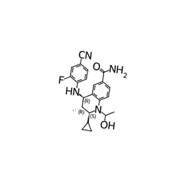 CC(O)N1c2ccc(C(N)=O)cc2[C@H](Nc2ccc(C#N)cc2F)[C@@H](C)[C@@H]1C1CC1